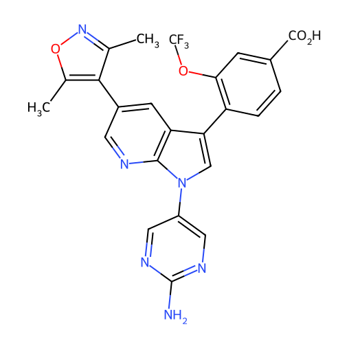 Cc1noc(C)c1-c1cnc2c(c1)c(-c1ccc(C(=O)O)cc1OC(F)(F)F)cn2-c1cnc(N)nc1